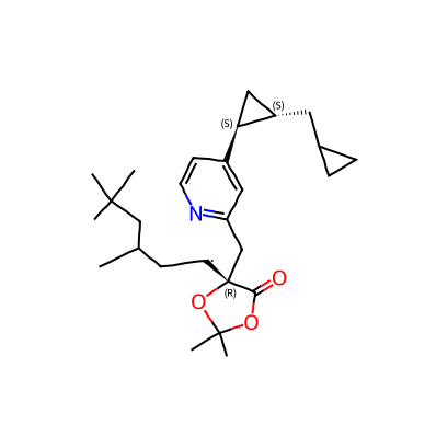 CC(C[CH][C@]1(Cc2cc([C@H]3C[C@@H]3CC3CC3)ccn2)OC(C)(C)OC1=O)CC(C)(C)C